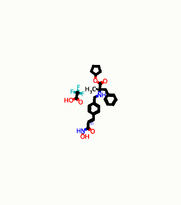 C[C@@](Cc1ccccc1)(NCc1ccc(/C=C/C(=O)NO)cc1)C(=O)OC1CCCC1.O=C(O)C(F)(F)F